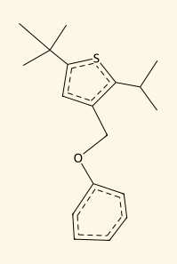 CC(C)c1sc(C(C)(C)C)cc1COc1ccccc1